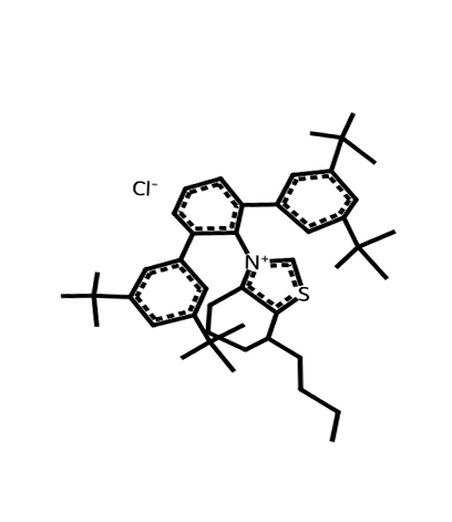 CCCCC1CCCc2c1sc[n+]2-c1c(-c2cc(C(C)(C)C)cc(C(C)(C)C)c2)cccc1-c1cc(C(C)(C)C)cc(C(C)(C)C)c1.[Cl-]